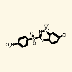 O=[N+]([O-])c1ccc(S(=O)(=O)c2nc3ccc(Cl)cc3[n+]([O-])n2)cc1